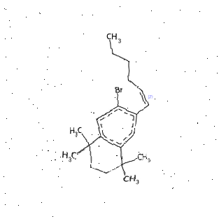 CCCC/C=C\c1cc2c(cc1Br)C(C)(C)CCC2(C)C